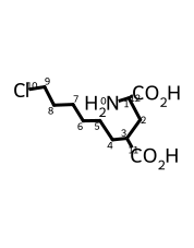 N[C@H](CC(CCCCCCCl)C(=O)O)C(=O)O